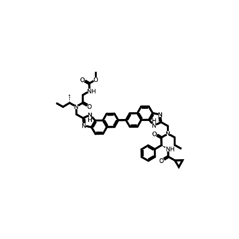 CCCN(Cc1nc2ccc3cc(-c4ccc5c(ccc6nc(CN(C(=O)CNC(=O)OC)[C@@H](C)CC)[nH]c65)c4)ccc3c2[nH]1)C(=O)[C@H](NC(=O)C1CC1)c1ccccc1